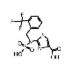 O=C(O)c1csc(N(Cc2ccccc2C(F)(F)F)S(=O)(=O)O)n1